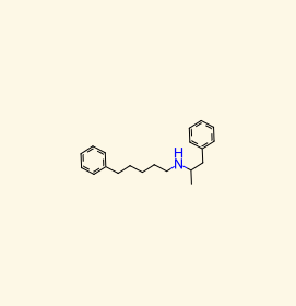 CC(Cc1ccccc1)NCCCCCc1ccccc1